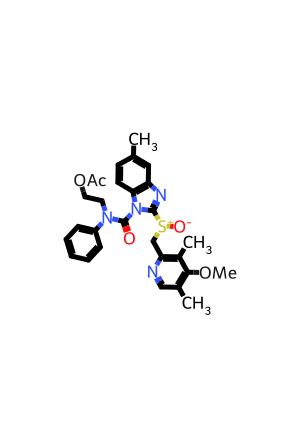 COc1c(C)cnc(C[S+]([O-])c2nc3cc(C)ccc3n2C(=O)N(CCOC(C)=O)c2ccccc2)c1C